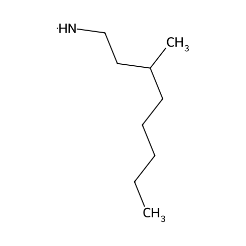 CCCCCC(C)CC[NH]